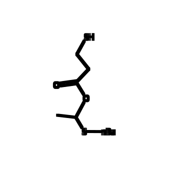 CCCCSC(C)OC(=O)CCS